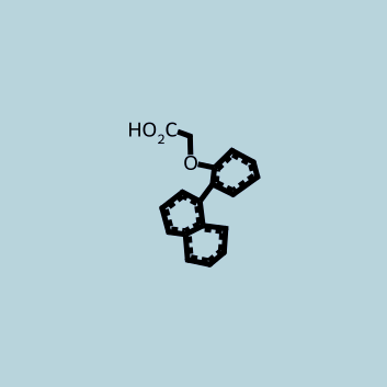 O=C(O)COc1ccccc1-c1cccc2ccccc12